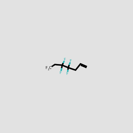 C=CCC(F)(F)C(F)(F)CC(F)(F)F